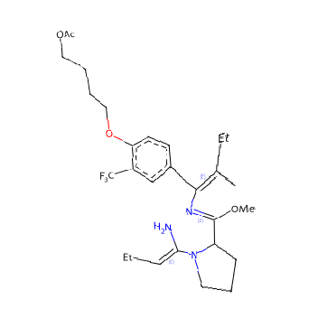 CC/C=C(\N)N1CCCC1/C(=N/C(=C(\C)CC)c1ccc(OCCCCOC(C)=O)c(C(F)(F)F)c1)OC